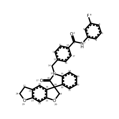 O=C(Nc1cccc(F)c1)c1ccc(CN2C(=O)C3(COc4cc5c(cc43)CCO5)c3ccccc32)cc1